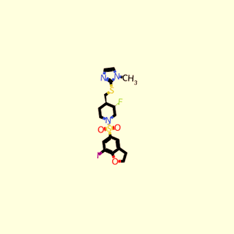 Cn1ccnc1SC[C@@H]1CCN(S(=O)(=O)c2cc(I)c3c(c2)CCO3)C[C@H]1F